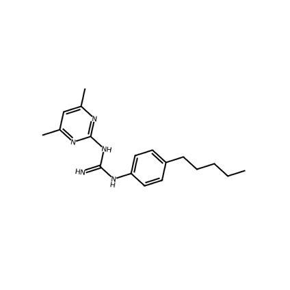 CCCCCc1ccc(NC(=N)Nc2nc(C)cc(C)n2)cc1